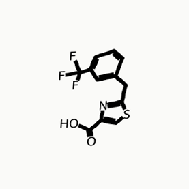 O=C(O)c1csc(Cc2cccc(C(F)(F)F)c2)n1